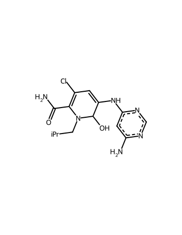 CC(C)CN1C(C(N)=O)=C(Cl)C=C(Nc2cc(N)ncn2)C1O